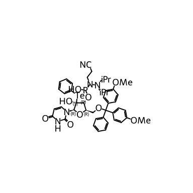 COc1ccc(C(OC[C@H]2O[C@@H](n3ccc(=O)[nH]c3=O)[C@@](O)([Te]c3ccccc3)[C@@H]2OP(O)N(CCC#N)N(C(C)C)C(C)C)(c2ccccc2)c2ccc(OC)cc2)cc1